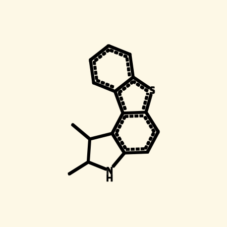 CC1Nc2ccc3sc4ccccc4c3c2C1C